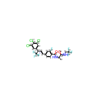 C[C@@H](NC(=O)c1ccc(/C=C/C(c2cc(Cl)c(Cl)c(Cl)c2)C(F)(F)F)cc1F)C(=O)NCC(F)(F)F